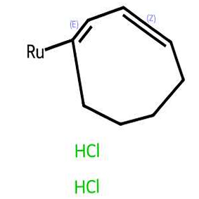 Cl.Cl.[Ru]/[C]1=C/C=C\CCCC1